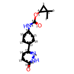 CC1(C)CC1OC(=O)Nc1ccc(-c2ccc(=O)[nH]n2)cc1